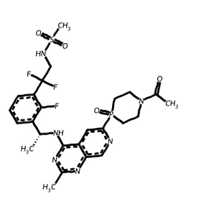 CC(=O)N1CCP(=O)(c2cc3c(N[C@H](C)c4cccc(C(F)(F)CNS(C)(=O)=O)c4F)nc(C)nc3cn2)CC1